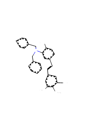 COc1ccc(C=Cc2cc(OC)c(OC)c(OC)c2)cc1N(Cc1ccccc1)Cc1ccccc1